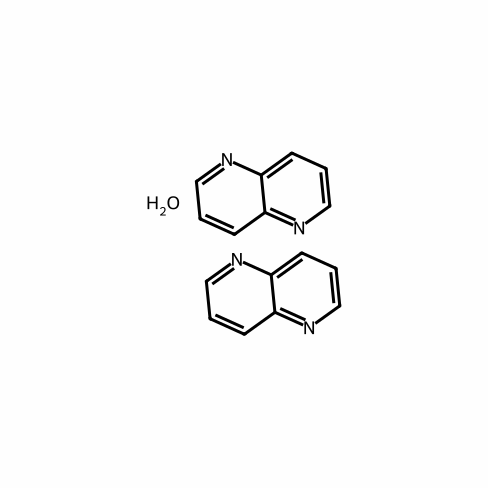 O.c1cnc2cccnc2c1.c1cnc2cccnc2c1